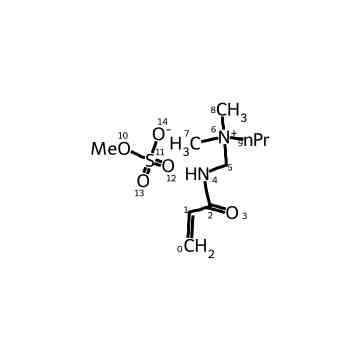 C=CC(=O)NC[N+](C)(C)CCC.COS(=O)(=O)[O-]